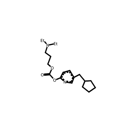 CCN(CC)CCCOC(=O)Oc1ccc(CC2CCCC2)cn1